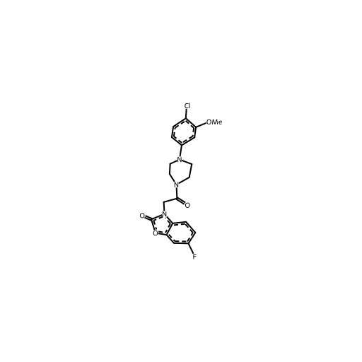 COc1cc(N2CCN(C(=O)Cn3c(=O)oc4cc(F)ccc43)CC2)ccc1Cl